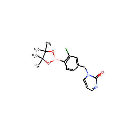 CC1(C)OB(c2ccc(Cn3cccnc3=O)cc2Cl)OC1(C)C